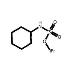 CC(C)OS(=O)(=O)NC1CCCCC1